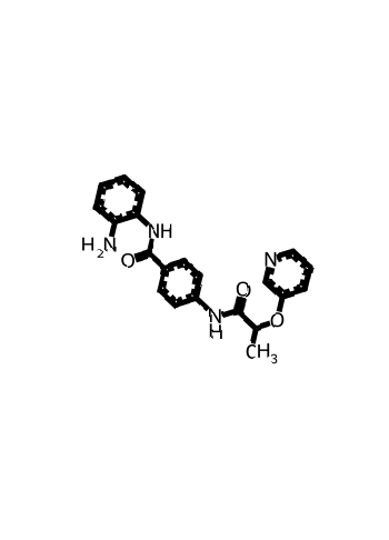 CC(Oc1cccnc1)C(=O)Nc1ccc(C(=O)Nc2ccccc2N)cc1